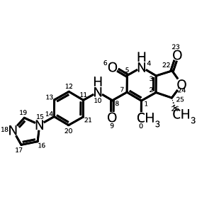 Cc1c2c([nH]c(=O)c1C(=O)Nc1ccc(-n3ccnc3)cc1)C(=O)O[C@@H]2C